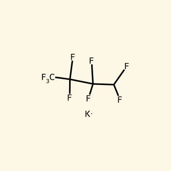 FC(F)C(F)(F)C(F)(F)C(F)(F)F.[K]